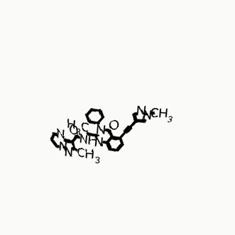 Cc1nn2cccnc2c1C(=O)NC(C)c1nc2cccc(C#Cc3cnn(C)c3)c2c(=O)n1C1CCCCC1